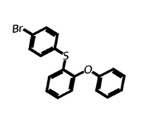 Brc1ccc(Sc2ccccc2Oc2ccccc2)cc1